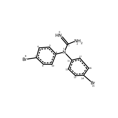 N=C(N)N(c1ccc(Br)cc1)c1ccc(Br)cc1